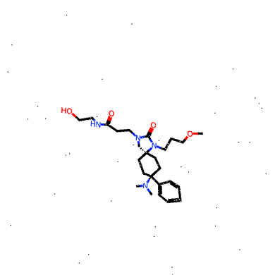 COCCCN1C(=O)N(CCC(=O)NCCO)C[C@]12CC[C@](c1ccccc1)(N(C)C)CC2